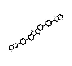 c1cc2sc(-c3ccc(-c4ccc5c(c4)sc4c6ccc(-c7ccc(-c8cc9sccc9s8)cc7)cc6sc54)cc3)cc2s1